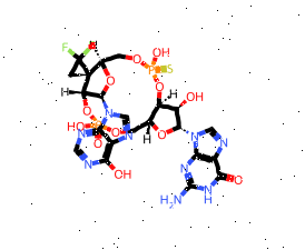 Nc1nc2c(ncn2[C@@H]2O[C@@H]3COP(=O)(O)O[C@H]4[C@H](n5cnc6c(O)ncnc65)O[C@H](COP(O)(=S)O[C@H]3[C@H]2O)[C@]42CC2(F)F)c(=O)[nH]1